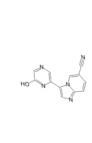 N#Cc1ccc2ncc(-c3cncc(O)n3)n2c1